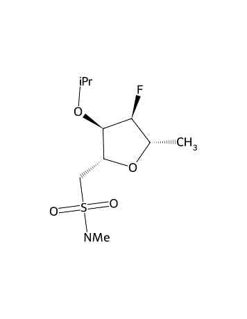 CNS(=O)(=O)C[C@H]1O[C@@H](C)[C@H](F)[C@@H]1OC(C)C